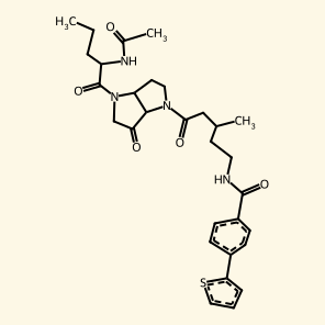 CCCC(NC(C)=O)C(=O)N1CC(=O)C2C1CCN2C(=O)CC(C)CCNC(=O)c1ccc(-c2cccs2)cc1